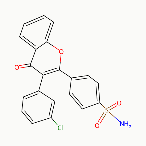 NS(=O)(=O)c1ccc(-c2oc3ccccc3c(=O)c2-c2cccc(Cl)c2)cc1